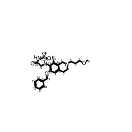 COCCCN1CCc2cc(OCc3ccccc3)c(N3CC(=O)NS3(=O)=O)c(F)c2C1